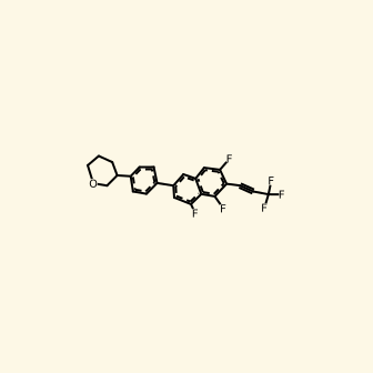 Fc1cc2cc(-c3ccc(C4CCCOC4)cc3)cc(F)c2c(F)c1C#CC(F)(F)F